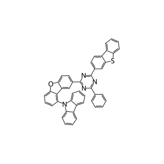 c1ccc(-c2nc(-c3ccc4c(c3)sc3ccccc34)nc(-c3ccc4oc5cccc(-n6c7ccccc7c7ccccc76)c5c4c3)n2)cc1